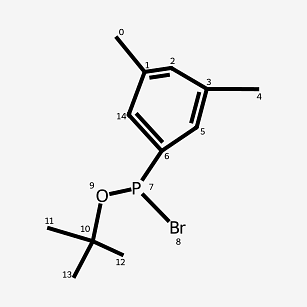 Cc1cc(C)cc(P(Br)OC(C)(C)C)c1